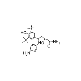 CC(C)(C)c1cc(C2CC(CC(N)=O)ON2c2ccc(N)cc2)cc(C(C)(C)C)c1O